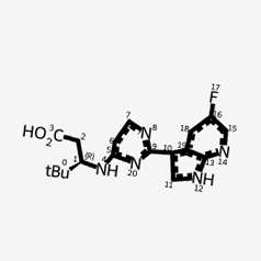 CC(C)(C)[C@@H](CC(=O)O)Nc1ccnc(-c2c[nH]c3ncc(F)cc23)n1